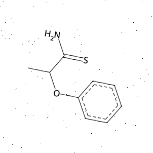 CC(Oc1ccccc1)C(N)=S